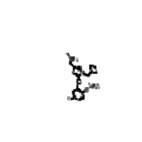 CNCc1cc(OCc2cc(F)ccc2F)n(CC2CCC2)n1.Cl